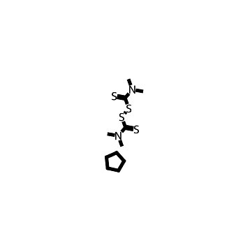 C1CCCC1.CN(C)C(=S)SSC(=S)N(C)C